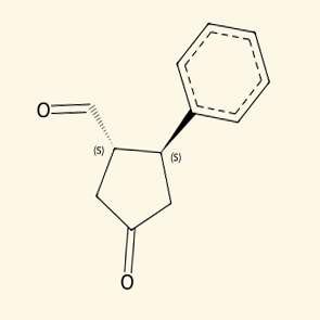 O=C[C@H]1CC(=O)C[C@@H]1c1ccccc1